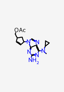 CC(=O)OCC1C=CC(n2cnc3c(N(C)C4CC4)nc(N)nc32)C1